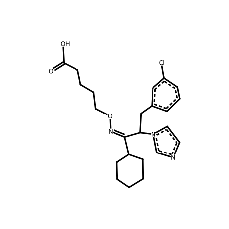 O=C(O)CCCCON=C(C1CCCCC1)C(Cc1cccc(Cl)c1)n1ccnc1